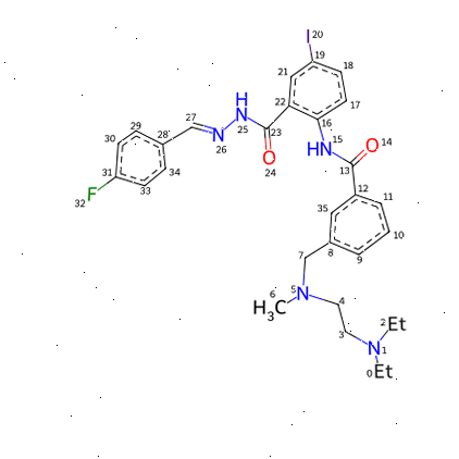 CCN(CC)CCN(C)Cc1cccc(C(=O)Nc2ccc(I)cc2C(=O)NN=Cc2ccc(F)cc2)c1